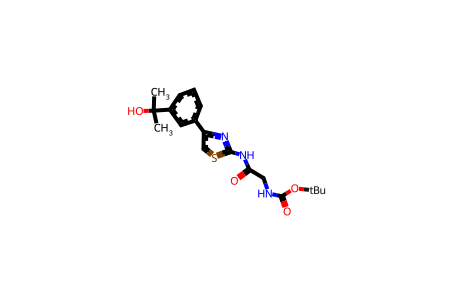 CC(C)(C)OC(=O)NCC(=O)Nc1nc(-c2cccc(C(C)(C)O)c2)cs1